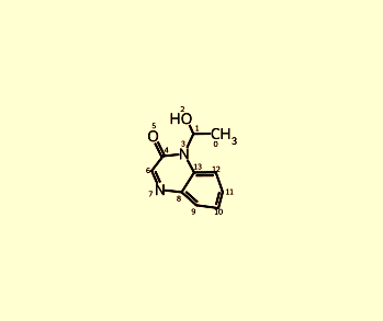 CC(O)n1c(=O)cnc2ccccc21